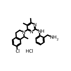 Cc1nc(Nc2ccccc2CN)nc(N2CCc3ccc(Cl)cc3C2C)c1C.Cl